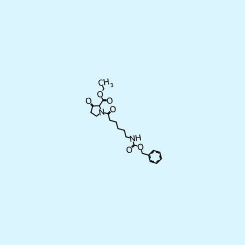 CCOC(=O)C1C(=O)CCN1C(=O)CCCCCNC(=O)OCc1ccccc1